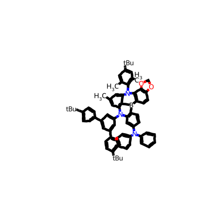 Cc1cc2c3c(c1)N(c1c(C)cc(C(C)(C)C)cc1C)c1c(ccc4c1OCO4)B3c1ccc(N(c3ccccc3)c3ccccc3)cc1N2c1cc(-c2ccc(C(C)(C)C)cc2)cc(-c2ccc(C(C)(C)C)cc2)c1